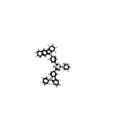 c1ccc(-c2nc(-c3ccc(-n4c5ccccc5c5cc6ccccc6cc54)cc3)nc(-c3ccc4c(c3)c3ccccc3n4-c3ccccc3)n2)cc1